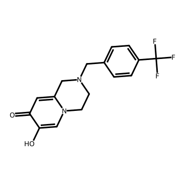 O=c1cc2n(cc1O)CCN(Cc1ccc(C(F)(F)F)cc1)C2